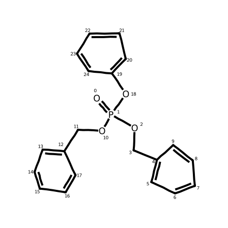 O=P(OCc1ccccc1)(OCc1ccccc1)Oc1ccccc1